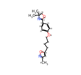 Cc1cc(CCCCOc2ccc(C3=NC(C)(C)CO3)cc2)on1